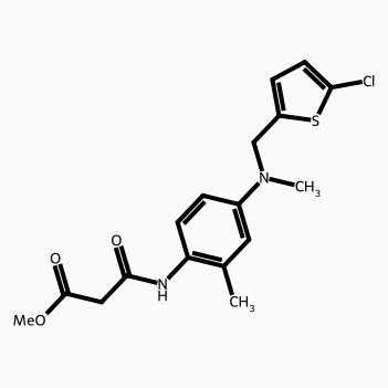 COC(=O)CC(=O)Nc1ccc(N(C)Cc2ccc(Cl)s2)cc1C